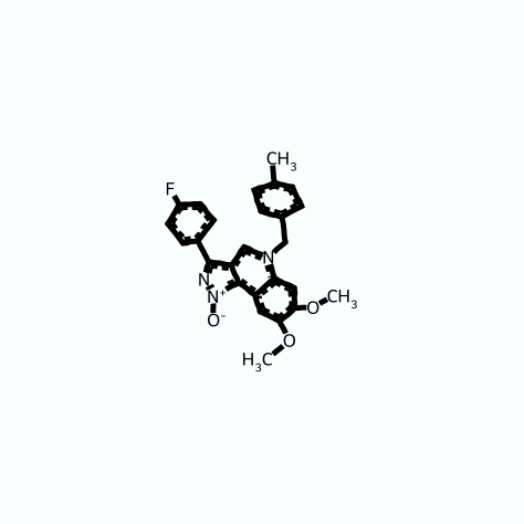 COc1cc2c3[n+]([O-])nc(-c4ccc(F)cc4)c-3cn(Cc3ccc(C)cc3)c2cc1OC